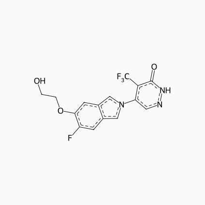 O=c1[nH]ncc(-n2cc3cc(F)c(OCCO)cc3c2)c1C(F)(F)F